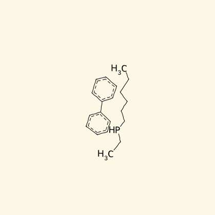 CCCCCCPCC.c1ccc(-c2ccccc2)cc1